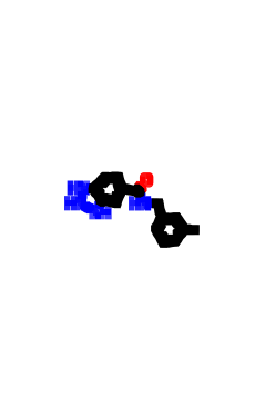 Cc1cccc(CNC(=O)c2ccc3c(c2)NNN3)c1